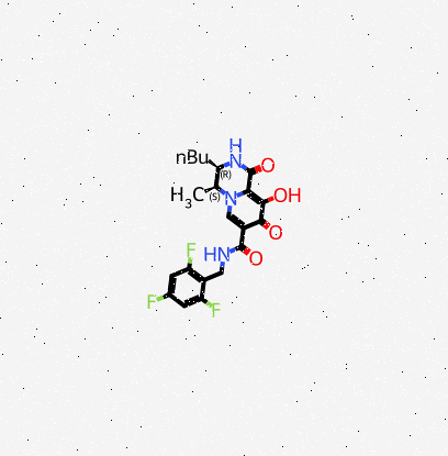 CCCC[C@H]1NC(=O)c2c(O)c(=O)c(C(=O)NCc3c(F)cc(F)cc3F)cn2[C@H]1C